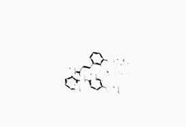 CCCCCOc1c(/C=C/c2nc3cccnc3n2-c2ccc(C#N)cn2)cccc1OC